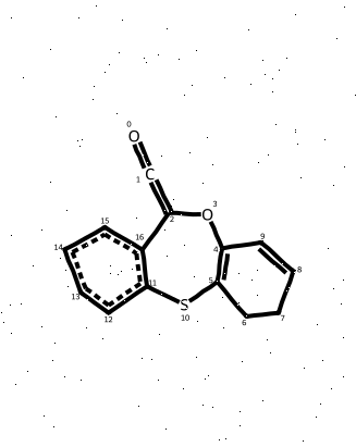 O=C=C1OC2=C(CCC=C2)Sc2ccccc21